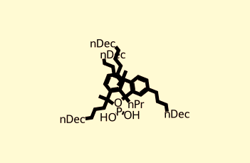 CCCCCCCCCCCCCc1ccc(C(C)(C)CCCCCCCCCCCCC)c(C(CCC)(OP(O)O)c2cc(CCCCCCCCCCCCC)ccc2C(C)(C)CCCCCCCCCCCCC)c1